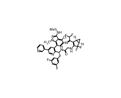 CSNc1nn(C)c2c(-c3cc(-c4cccnc4)cnc3[C@H](Cc3cc(F)cc(F)c3)NC(=O)CNC3=C(C(=N)C(F)F)[C@H]4C[C@H]4C3(F)F)ccc(Cl)c12